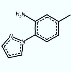 Cc1ccc(-n2cccn2)c(N)c1